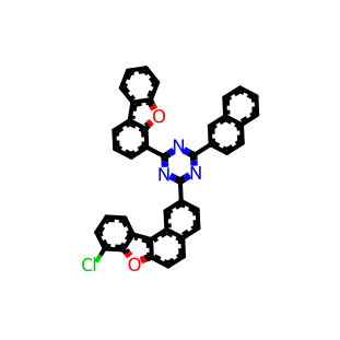 Clc1cccc2c1oc1ccc3ccc(-c4nc(-c5ccc6ccccc6c5)nc(-c5cccc6c5oc5ccccc56)n4)cc3c12